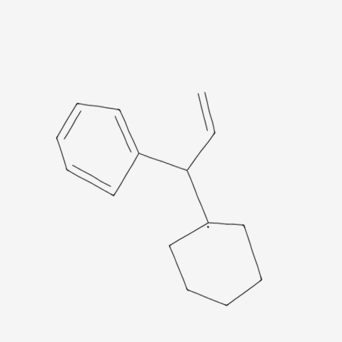 C=CC([C]1CCCCC1)c1ccccc1